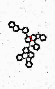 C1=Cc2c(sc3cccc(-c4ccccc4N(c4ccc(-c5cccc(-c6ccc7ccccc7c6)c5)cc4)c4ccc(-c5ccccc5-n5c6ccccc6c6ccccc65)cc4)c23)CC1